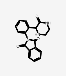 O=C1NCCNC1c1ccccc1N1C(=O)c2ccccc2C1=O